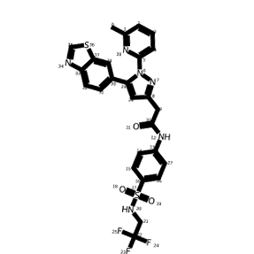 Cc1cccc(-n2nc(CC(=O)Nc3ccc(S(=O)(=O)NCC(F)(F)F)cc3)cc2-c2ccc3ncsc3c2)n1